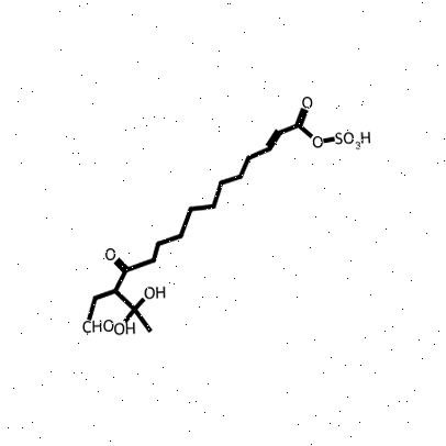 CC(O)(O)C(C[C]=O)C(=O)CCCCCCCCC=CC(=O)OS(=O)(=O)O